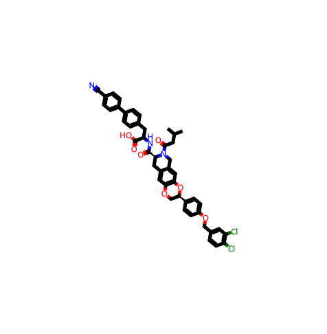 CC(C)CC(=O)N1Cc2cc3c(cc2C[C@H]1C(=O)NC(Cc1ccc(-c2ccc(C#N)cc2)cc1)C(=O)O)OC[C@H](c1ccc(OCc2ccc(Cl)c(Cl)c2)cc1)O3